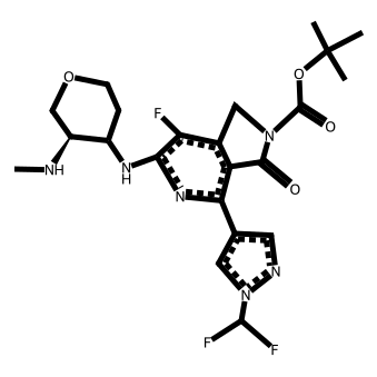 CN[C@H]1COCCC1Nc1nc(-c2cnn(C(F)F)c2)c2c(c1F)CN(C(=O)OC(C)(C)C)C2=O